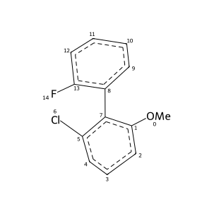 COc1cccc(Cl)c1-c1ccccc1F